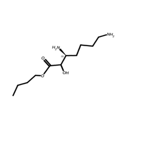 CCCCOC(=O)C(O)[C@@H](N)CCCCN